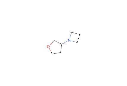 [CH]1CCN1C1CCOC1